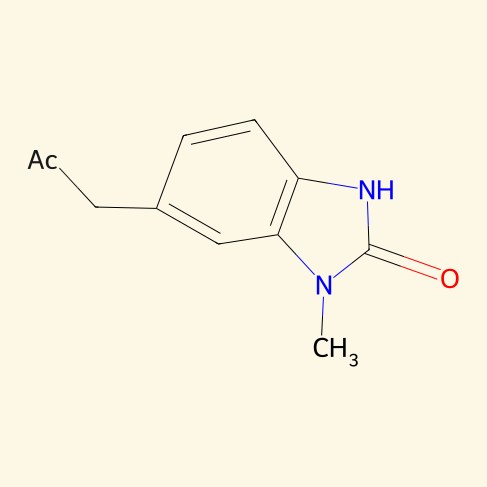 CC(=O)Cc1ccc2[nH]c(=O)n(C)c2c1